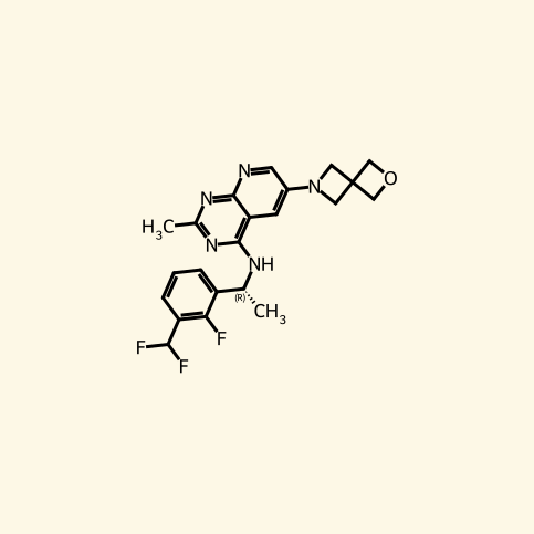 Cc1nc(N[C@H](C)c2cccc(C(F)F)c2F)c2cc(N3CC4(COC4)C3)cnc2n1